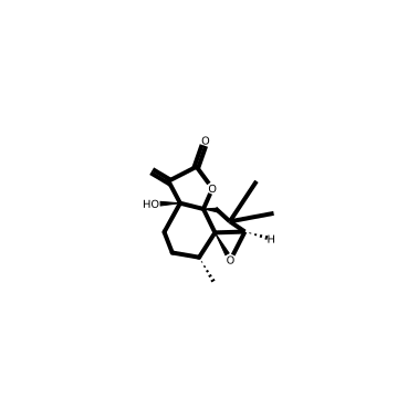 C=C1C(=O)O[C@]23CC(C)(C)[C@H]4O[C@]42[C@H](C)CC[C@]13O